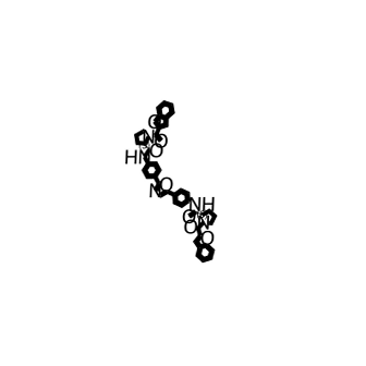 O=C(Nc1ccc(-c2cnc(-c3ccc(NC(=O)[C@@H]4CCCN4C(=O)c4cc5ccccc5o4)cc3)o2)cc1)[C@@H]1CCCN1C(=O)c1cc2ccccc2o1